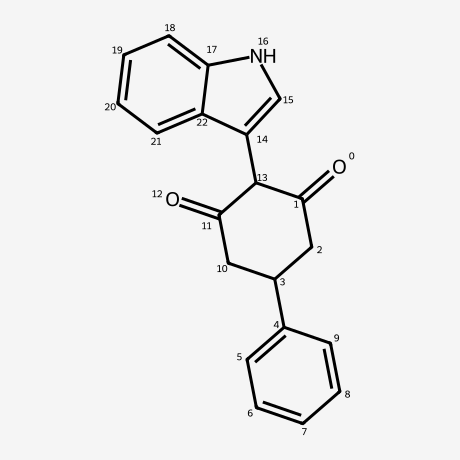 O=C1CC(c2ccccc2)CC(=O)C1c1c[nH]c2ccccc12